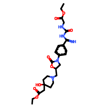 CCOC(=O)CNC(=O)NC(=N)c1ccc(N2CC(CN3CCC(O)(CC(=O)OCC)CC3)OC2=O)cc1